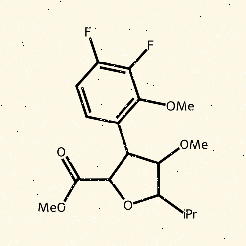 COC(=O)C1OC(C(C)C)C(OC)C1c1ccc(F)c(F)c1OC